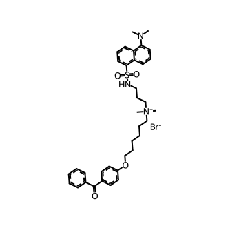 CN(C)c1cccc2c(S(=O)(=O)NCCC[N+](C)(C)CCCCCCOc3ccc(C(=O)c4ccccc4)cc3)cccc12.[Br-]